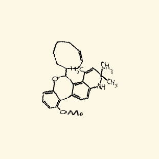 COc1cccc2c1-c1ccc3c(c1C(C1CC=CCCCC1)O2)C(C)=CC(C)(C)N3